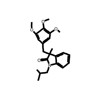 COc1cc(CC2(C)C(=O)N(CC(C)C)c3ccccc32)cc(OC)c1OC